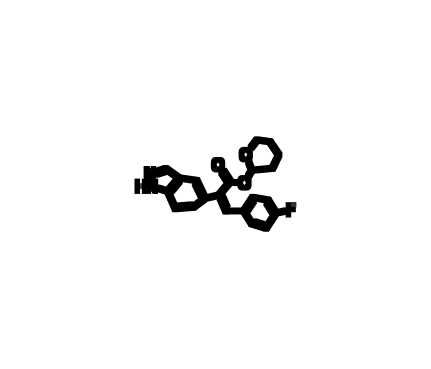 O=C(OC1CCCCO1)C(=Cc1ccc(F)cc1)c1ccc2[nH]ncc2c1